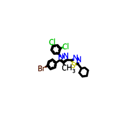 Cc1c(-c2nnc(C3CCCCC3)s2)nn(-c2ccc(Cl)cc2Cl)c1-c1ccc(Br)cc1